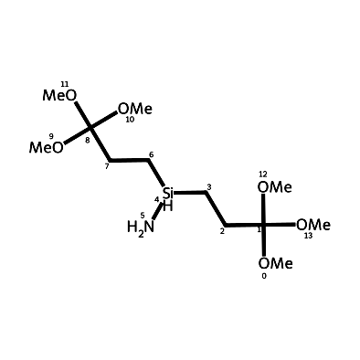 COC(CC[SiH](N)CCC(OC)(OC)OC)(OC)OC